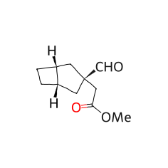 COC(=O)C[C@@]1(C=O)C[C@H]2CC[C@H]2C1